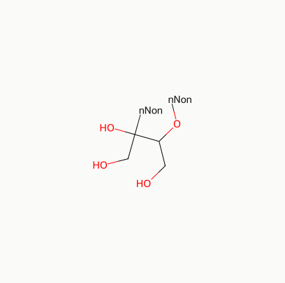 CCCCCCCCCOC(CO)C(O)(CO)CCCCCCCCC